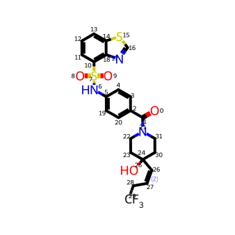 O=C(c1ccc(NS(=O)(=O)c2cccc3scnc23)cc1)N1CCC(O)(/C=C\CC(F)(F)F)CC1